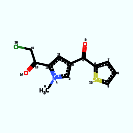 Cn1cc(C(=O)c2cccs2)cc1C(=O)CCl